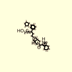 C1CCCC1.O=C(O)NC(CCN1CC2CN(C(=O)c3[nH]nc4c3CCCC4)C[C@@H]2C1)c1ccccc1